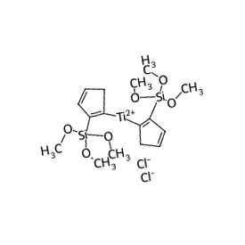 CO[Si](OC)(OC)C1=[C]([Ti+2][C]2=C([Si](OC)(OC)OC)C=CC2)CC=C1.[Cl-].[Cl-]